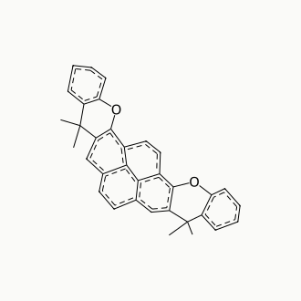 CC1(C)c2ccccc2Oc2c1cc1ccc3cc4c(c5ccc2c1c35)Oc1ccccc1C4(C)C